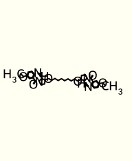 COc1ccc2c(c1)C(=O)N1CCC(OCCCCCCCCOC3CCN4C(=O)c5cc(OC)ccc5N=C[C@@H]34)[C@@H]1C=N2